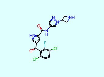 O=C(Nc1cnn(C2CNC2)c1)c1cc(C(=O)c2c(Cl)ccc(Cl)c2F)c[nH]1